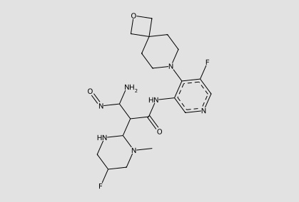 CN1CC(F)CNC1C(C(=O)Nc1cncc(F)c1N1CCC2(CC1)COC2)C(N)N=O